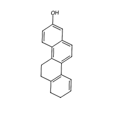 Oc1ccc2c3c(ccc2c1)C1=C(CCC=C1)CC3